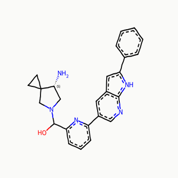 N[C@@H]1CN(C(O)c2cccc(-c3cnc4[nH]c(-c5ccccc5)cc4c3)n2)CC12CC2